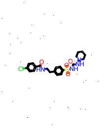 O=C(NN1CCCCC1)NS(=O)(=O)c1ccc(CCNC(=O)c2ccc(Cl)cc2)cc1